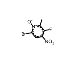 Cc1c(F)c([N+](=O)[O-])cc(Br)[n+]1[O-]